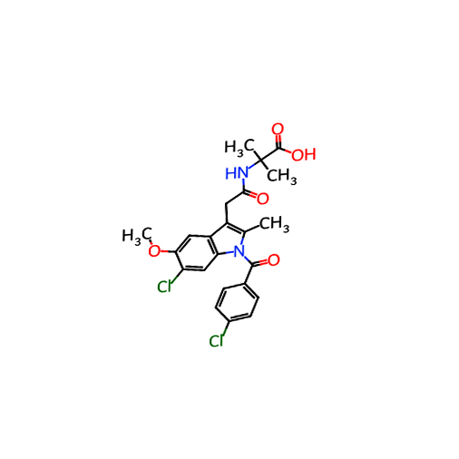 COc1cc2c(CC(=O)NC(C)(C)C(=O)O)c(C)n(C(=O)c3ccc(Cl)cc3)c2cc1Cl